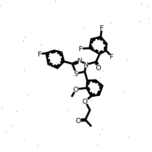 COc1c(OCC(C)=O)cccc1C1SC(c2ccc(F)cc2)=NN1C(=O)c1c(F)cc(F)cc1F